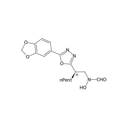 CCCCC[C@H](CN(O)C=O)c1nnc(-c2ccc3c(c2)OCO3)o1